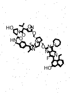 CCc1cccc2cc(O)cc(-c3ncc4c(N5CCCCCC5)nc(OC[C@]56CCCN5[C@H](COc5cc([C@H](C(=O)N7C[C@H](O)C[C@H]7C(=O)N[C@@H](C)c7ccc(-c8scnc8C)cc7)C(C)C)on5)CC6)nc4c3F)c12